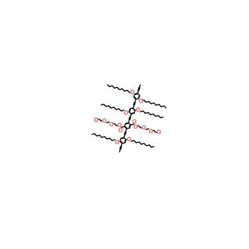 CC#Cc1cc(OCCCCCCCCCC)c(C#Cc2cc(OCCCCCCCCCC)c(C#Cc3cc(C(=O)OCCOCCOCCOC)c(C#Cc4cc(OCCCCCCCCCC)c(C#CC)cc4OCCCCCCCCCC)cc3C(=O)OCCOCCOCCOC)cc2OCCCCCCCCCC)cc1OCCCCCCCCCC